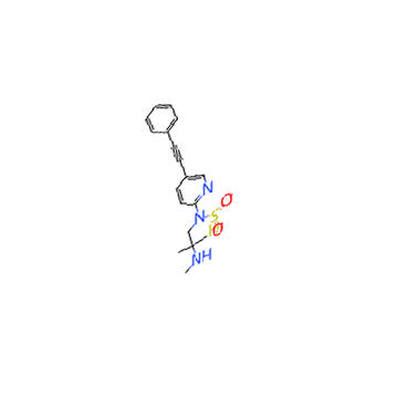 CNC(C)(C)CN(c1ccc(C#Cc2ccccc2)cn1)[SH](=O)=O